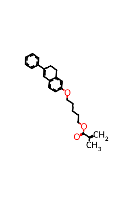 C=C(C)C(=O)OCCCCCOc1ccc2c(c1)CCC(c1ccccc1)=C2